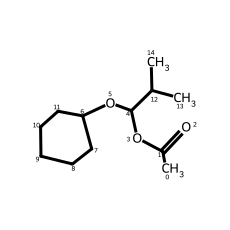 CC(=O)OC(OC1CCCCC1)C(C)C